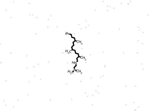 CC(C)CCCC(C)CCCC(C)CCCC(C)CCNCCN(C)C